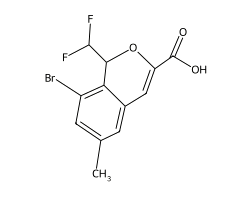 Cc1cc(Br)c2c(c1)C=C(C(=O)O)OC2C(F)F